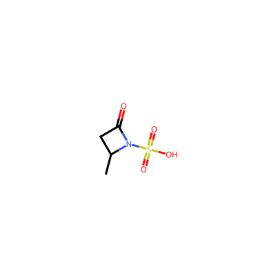 CC1CC(=O)N1S(=O)(=O)O